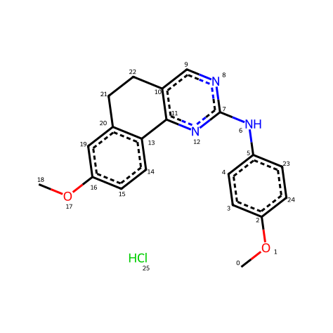 COc1ccc(Nc2ncc3c(n2)-c2ccc(OC)cc2CC3)cc1.Cl